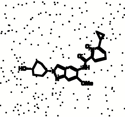 COc1cc2nn([C@H]3CC[C@H](O)CC3)cc2cc1NC(=O)c1cccc(C2CC2)[n+]1[O-]